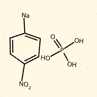 O=P(O)(O)O.O=[N+]([O-])c1cc[c]([Na])cc1